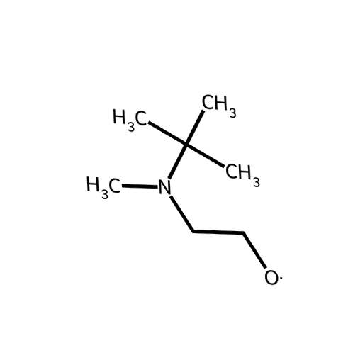 CN(CC[O])C(C)(C)C